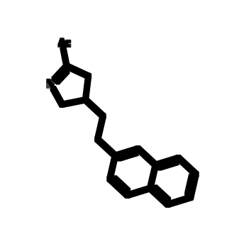 CC(=O)C1=NCC(CCc2ccc3ccccc3c2)C1